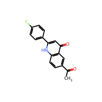 CC(=O)c1ccc2[nH]c(-c3ccc(F)cc3)cc(=O)c2c1